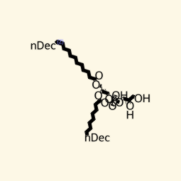 CCCCCCCCCC/C=C\CCCCCCCCCC(=O)OC[C@H](COP(=O)(O)OC[C@@H](O)CO)OC(=O)CCCCCCCCCCCCCCCCC